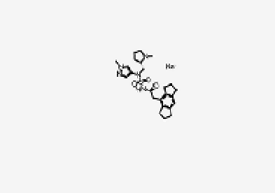 CN1CCC[C@H]1CN(c1cnn(C)c1)S(=O)(=O)NC(=O)Cc1c2c(cc3c1CCC3)CCC2.[Na]